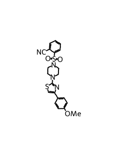 COc1ccc(-c2csc(N3CCN(S(=O)(=O)c4ccccc4C#N)CC3)n2)cc1